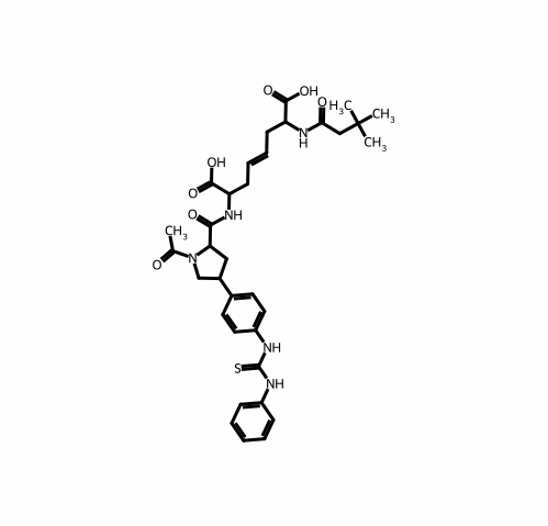 CC(=O)N1CC(c2ccc(NC(=S)Nc3ccccc3)cc2)CC1C(=O)NC(CC=CCC(NC(=O)CC(C)(C)C)C(=O)O)C(=O)O